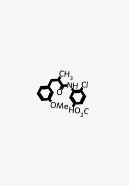 COc1cccc(CC(C)C(=O)Nc2cc(C(=O)O)ccc2Cl)c1